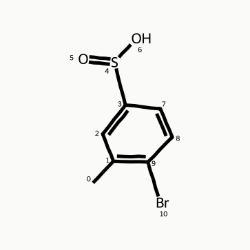 Cc1cc(S(=O)O)ccc1Br